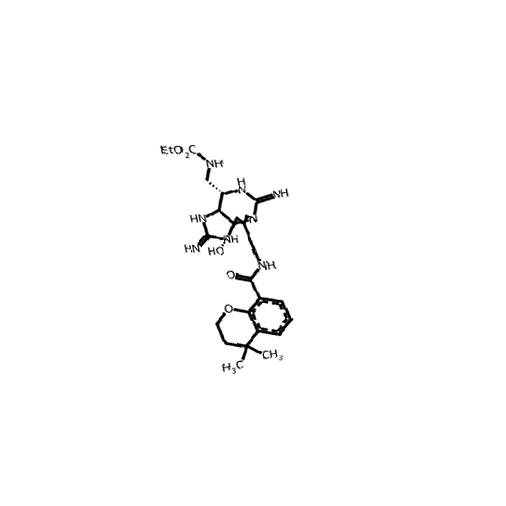 CCOC(=O)NC[C@@H]1NC(=N)N2CC(NC(=O)c3cccc4c3OCCC4(C)C)[C@@H](O)C23NC(=N)NC13